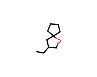 CCC1COC2(CCCC2)C1